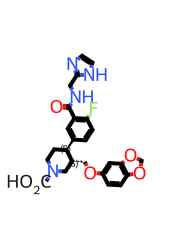 O=C(NCc1ncc[nH]1)c1cc([C@@H]2CCN(C(=O)O)C[C@H]2COc2ccc3c(c2)OCO3)ccc1F